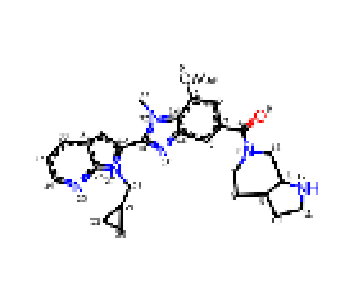 COc1cc(C(=O)N2CCC3CCNC3C2)cc2nc(-c3cc4cccnc4n3CC3CC3)n(C)c12